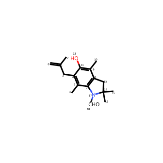 C=C(C)Cc1c(C)c2c(c(C)c1O)CC(C)(C)N2C=O